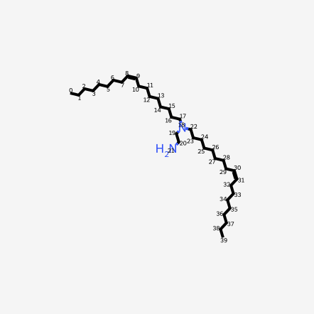 CCCCCCCC/C=C\CCCCCCCCN(CCN)CCCCCCCC/C=C\CCCCCCCC